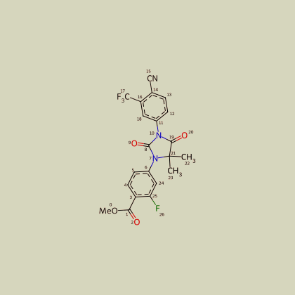 COC(=O)c1ccc(N2C(=O)N(c3ccc(C#N)c(C(F)(F)F)c3)C(=O)C2(C)C)cc1F